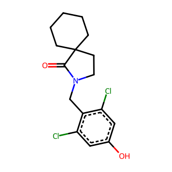 O=C1N(Cc2c(Cl)cc(O)cc2Cl)CCC12CCCCC2